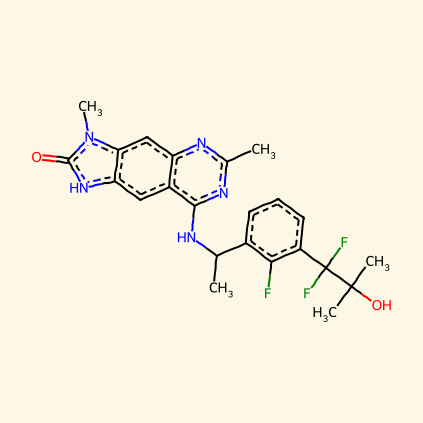 Cc1nc(NC(C)c2cccc(C(F)(F)C(C)(C)O)c2F)c2cc3[nH]c(=O)n(C)c3cc2n1